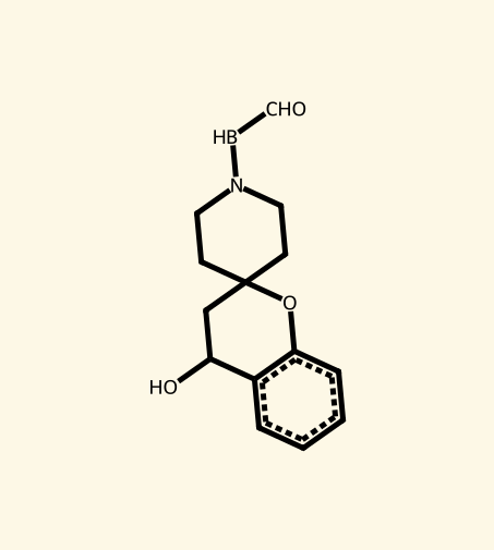 O=CBN1CCC2(CC1)CC(O)c1ccccc1O2